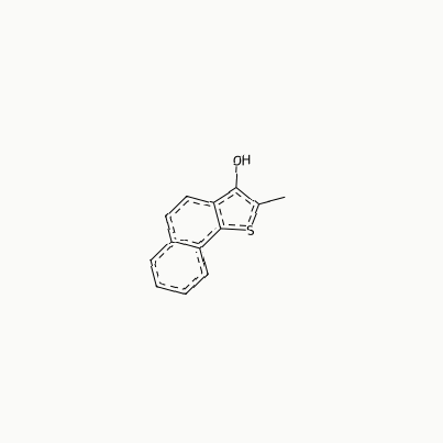 Cc1sc2c(ccc3ccccc32)c1O